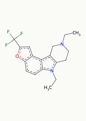 CCN1CCc2c(c3c4cc(C(F)(F)F)oc4ccc3n2CC)C1